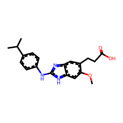 COc1cc2[nH]c(Nc3ccc(C(C)C)cc3)nc2cc1CCC(=O)O